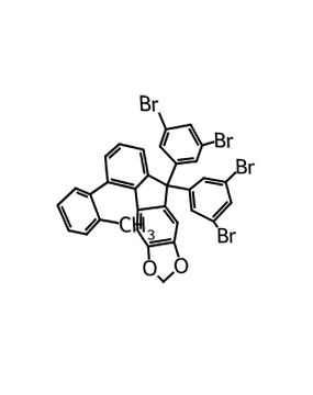 Cc1ccccc1-c1cccc2c1-c1cc3c(cc1C2(c1cc(Br)cc(Br)c1)c1cc(Br)cc(Br)c1)OCO3